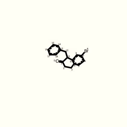 O=C1CCc2ccc(Br)cc2C1Cc1ccccc1